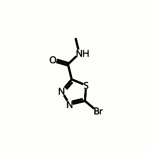 CNC(=O)c1nnc(Br)s1